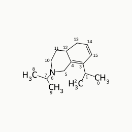 CC(C)C1=C2CN(C(C)C)CCC2CC=C1